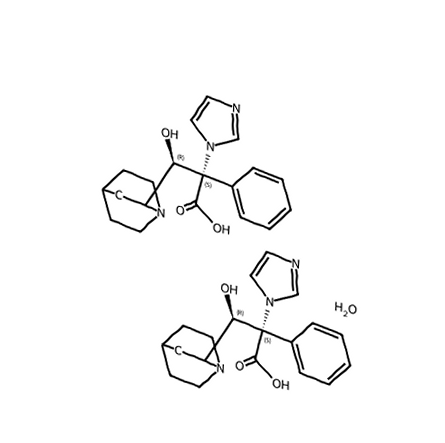 O.O=C(O)[C@](c1ccccc1)([C@H](O)C1CC2CCN1CC2)n1ccnc1.O=C(O)[C@](c1ccccc1)([C@H](O)C1CC2CCN1CC2)n1ccnc1